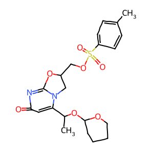 Cc1ccc(S(=O)(=O)OCC2Cn3c(C(C)OC4CCCCO4)cc(=O)nc3O2)cc1